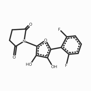 O=C1CCC(=O)N1c1oc(-c2c(F)cccc2F)c(O)c1O